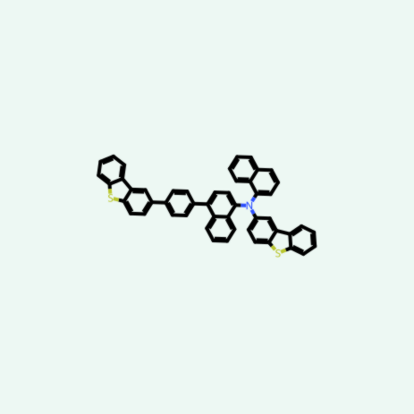 c1ccc2c(N(c3ccc4sc5ccccc5c4c3)c3ccc(-c4ccc(-c5ccc6sc7ccccc7c6c5)cc4)c4ccccc34)cccc2c1